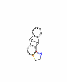 c1ccc2c(c1)C1CC(C3=NCCS3)C2c2ccccc21